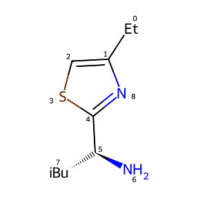 CCc1csc([C@@H](N)[C@@H](C)CC)n1